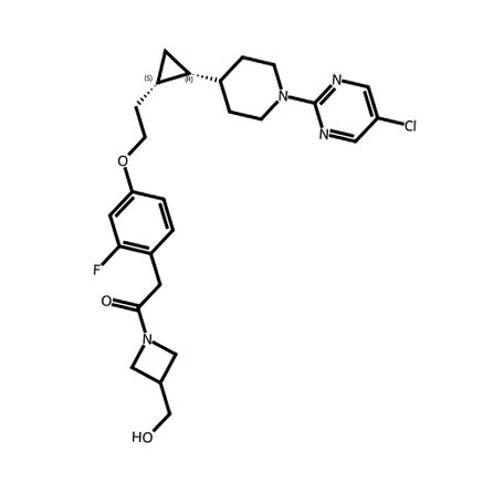 O=C(Cc1ccc(OCC[C@@H]2C[C@@H]2C2CCN(c3ncc(Cl)cn3)CC2)cc1F)N1CC(CO)C1